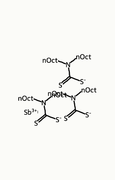 CCCCCCCCN(CCCCCCCC)C(=S)[S-].CCCCCCCCN(CCCCCCCC)C(=S)[S-].CCCCCCCCN(CCCCCCCC)C(=S)[S-].[Sb+3]